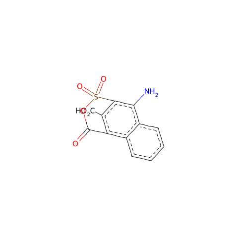 Nc1c2c(C(=O)O)c(c3ccccc13)C(=O)OS2(=O)=O